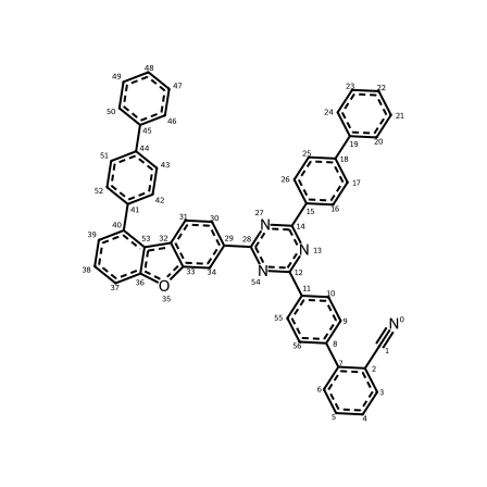 N#Cc1ccccc1-c1ccc(-c2nc(-c3ccc(-c4ccccc4)cc3)nc(-c3ccc4c(c3)oc3cccc(-c5ccc(-c6ccccc6)cc5)c34)n2)cc1